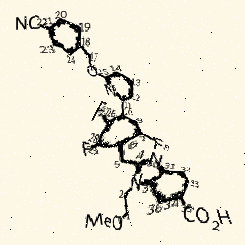 COCCn1c(Cc2c(F)cc(-c3cccc(OCc4ccc(C#N)cc4)n3)c(F)c2F)nc2ccc(C(=O)O)cc21